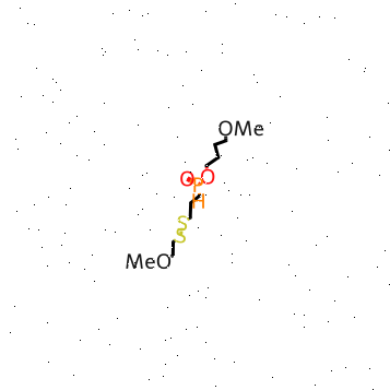 COCCCCO[PH](=O)CCCSSCCOC